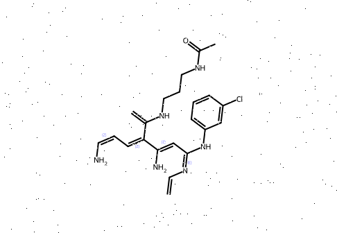 C=C\N=C(/C=C(N)/C(=C/C=C\N)C(=C)NCCCNC(C)=O)Nc1cccc(Cl)c1